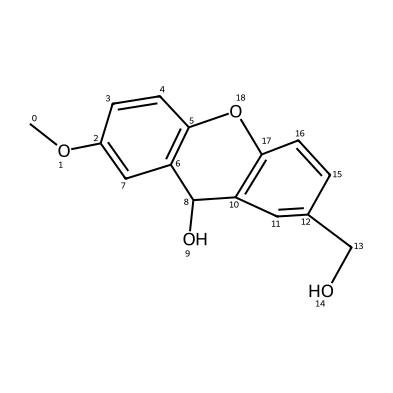 COc1ccc2c(c1)C(O)c1cc(CO)ccc1O2